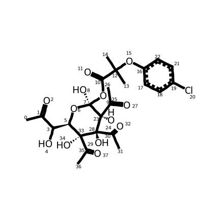 CC(=O)C(O)[C@H]1O[C@@](O)(OC(=O)C(C)(C)Oc2ccc(Cl)cc2)[C@@](O)(C(C)=O)[C@](O)(C(C)=O)[C@@]1(O)C(C)=O